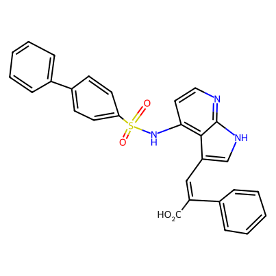 O=C(O)C(=Cc1c[nH]c2nccc(NS(=O)(=O)c3ccc(-c4ccccc4)cc3)c12)c1ccccc1